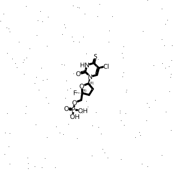 O=c1[nH]c(=S)c(Cl)cn1[C@H]1CC[C@@](F)(COP(=O)(O)O)O1